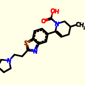 CC1CC=C(c2ccc3sc(CCN4CCCC4)nc3c2)N(C(=O)O)C1